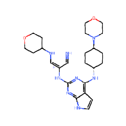 N=C/C(=C\NC1CCOCC1)Nc1nc(N[C@H]2CC[C@H](N3CCOCC3)CC2)c2cc[nH]c2n1